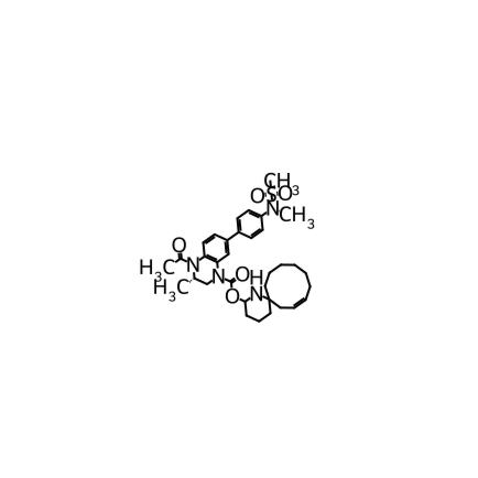 CC(=O)N1c2ccc(-c3ccc(N(C)S(C)(=O)=O)cc3)cc2N(C(=O)OC2CCCC3(C/C=C\CCCCCC3)N2)C[C@@H]1C